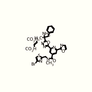 CN(Cc1nc(Br)cs1)C(=O)c1cc(-c2ncco2)nc(-c2nnc([C@](C)(N)Cc3ccccc3)o2)c1.O=C(O)C=CC(=O)O